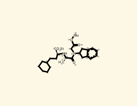 CCOC(=O)[C@H](CCC1CCCCC1)N[C@@H](C)C(=O)N(CC(=O)OC(C)(C)C)C1Cc2ccccc2C1